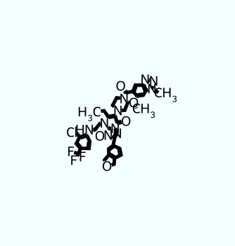 CCc1c(N2CCN(C(=O)c3cc4nnn(C)c4cc3OC)CC2)c(=O)n2nc(-c3ccc4c(c3)COC4)nc2n1CC(=O)Nc1ccc(C(F)(F)F)cc1Cl